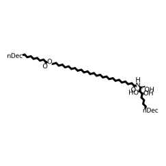 CCCCCCCCCCCCCCCCCC(=O)OCCCCCCCCCCCCCCCCCCCCCCCCCCC(=O)N[C@@H](CO)[C@H](O)[C@H](O)CCCCCCCCCCCCCC